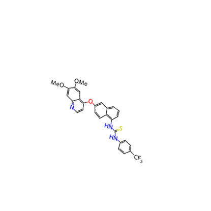 COc1cc2nccc(Oc3ccc4c(NC(=S)Nc5ccc(C(F)(F)F)cc5)cccc4c3)c2cc1OC